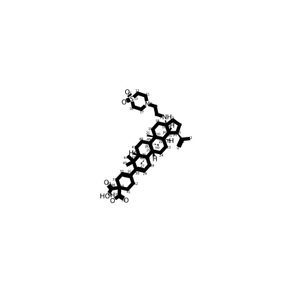 C=C(C)[C@@H]1CC[C@]2(NCCN3CCS(=O)(=O)CC3)CC[C@]3(C)[C@H](CC[C@@H]4[C@@]5(C)CC=C(C6=CCC(C(=O)O)(C(=O)O)CC6)C(C)(C)[C@@H]5CC[C@]43C)[C@@H]12